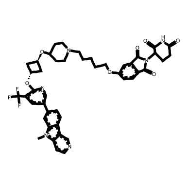 Cn1c2ccncc2c2ccc(-c3cnc(O[C@H]4C[C@H](OC5CCN(CCCCCOc6ccc7c(c6)C(=O)N(C6CCC(=O)NC6=O)C7=O)CC5)C4)c(C(F)(F)F)c3)cc21